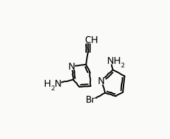 C#Cc1cccc(N)n1.Nc1cccc(Br)n1